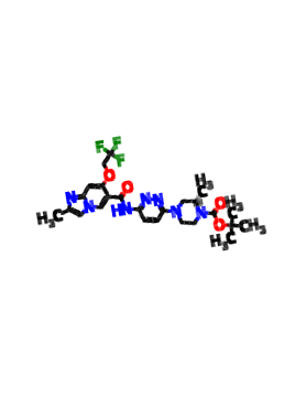 Cc1cn2cc(C(=O)Nc3ccc(N4CCN(C(=O)OC(C)(C)C)[C@@H](C)C4)nn3)c(OCC(F)(F)F)cc2n1